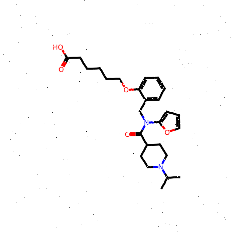 CC(C)N1CCC(C(=O)N(Cc2ccccc2OCCCCCC(=O)O)c2ccco2)CC1